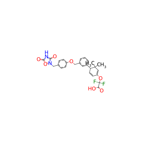 CC1(C)C=C(OC(F)(F)C(=O)O)C=CC1c1cccc(COc2ccc(Cn3oc(=O)[nH]c3=O)cc2)c1